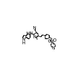 Cc1nc(Nc2ccc3[nH]ccc3c2C)c(C#N)cc1C=Cc1ccc(CS(=O)(=O)N2CCN(C)CC2)cc1